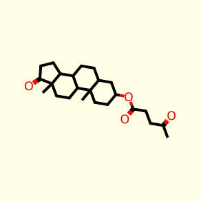 CC(=O)CCC(=O)OC1CCC2(C)C(CCC3C4CCC(=O)C4(C)CCC32)C1